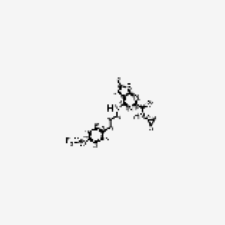 Cc1cc2c(NCCCc3ccc(OC(F)(F)F)cc3)nc(C(=O)NC3CC3)nc2s1